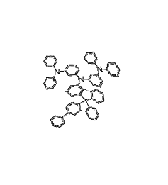 c1ccc(-c2ccc(C3(c4ccccc4)c4ccccc4-c4c(N(c5cccc(N(c6ccccc6)c6ccccc6)c5)c5cccc(N(c6ccccc6)c6ccccc6)c5)cccc43)cc2)cc1